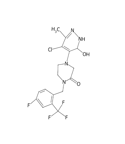 CC1=NNC(O)C(N2CCN(Cc3ccc(F)cc3C(F)(F)F)C(=O)C2)=C1Cl